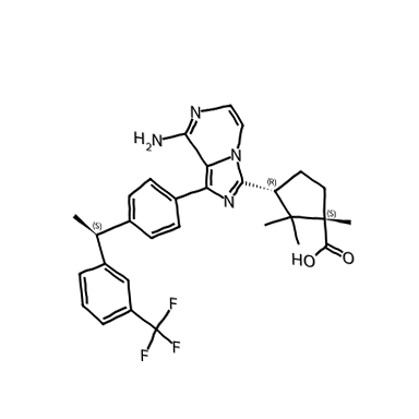 C[C@@H](c1ccc(-c2nc([C@@H]3CC[C@](C)(C(=O)O)C3(C)C)n3ccnc(N)c23)cc1)c1cccc(C(F)(F)F)c1